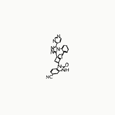 N#Cc1ccc2c(c1)[nH]c(=O)n2C1CC(c2nnc(-c3ccncn3)n2-c2ccccc2Cl)C1